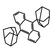 c1ccc2c(C34CC5CC(CC(C5)C3)C4)c3ccccc3c(C34CC5CC(CC(C5)C3)C4)c2c1